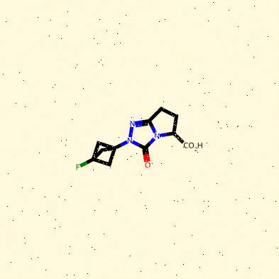 O=C(O)C1CCc2nn(C34CC(F)(C3)C4)c(=O)n21